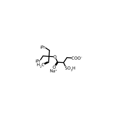 C=CC(CC(C)C)(CC(C)C)OC(=O)C(CC(=O)[O-])S(=O)(=O)O.[Na+]